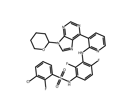 O=S(=O)(Nc1ccc(F)c(Nc2ncccc2-c2ncnc3c2ncn3C2CCCCO2)c1F)c1cccc(Cl)c1F